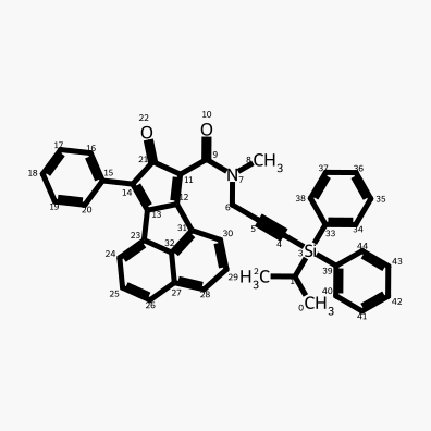 CC(C)[Si](C#CCN(C)C(=O)C1=C2C(=C(c3ccccc3)C1=O)c1cccc3cccc2c13)(c1ccccc1)c1ccccc1